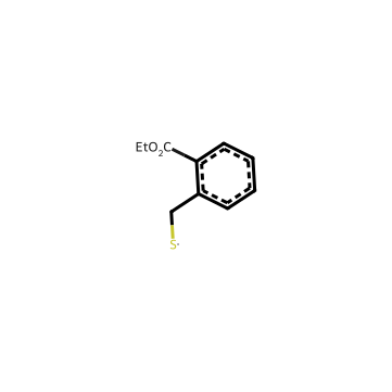 CCOC(=O)c1ccccc1C[S]